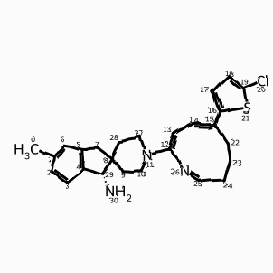 Cc1ccc2c(c1)CC1(CCN(C3=C/C=C(/c4ccc(Cl)s4)CCC/C=N\3)CC1)[C@@H]2N